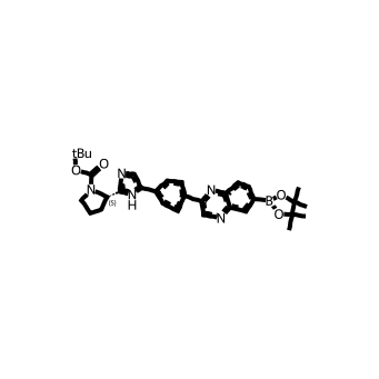 CC(C)(C)OC(=O)N1CCC[C@H]1c1ncc(-c2ccc(-c3cnc4cc(B5OC(C)(C)C(C)(C)O5)ccc4n3)cc2)[nH]1